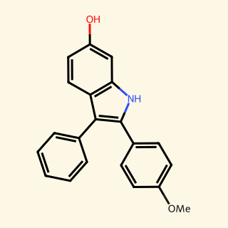 COc1ccc(-c2[nH]c3cc(O)ccc3c2-c2ccccc2)cc1